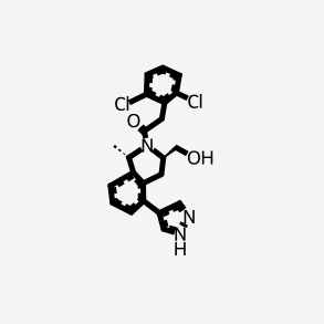 C[C@H]1c2cccc(-c3cn[nH]c3)c2C[C@H](CO)N1C(=O)Cc1c(Cl)cccc1Cl